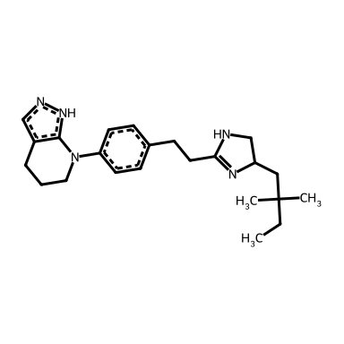 CCC(C)(C)CC1CNC(CCc2ccc(N3CCCc4cn[nH]c43)cc2)=N1